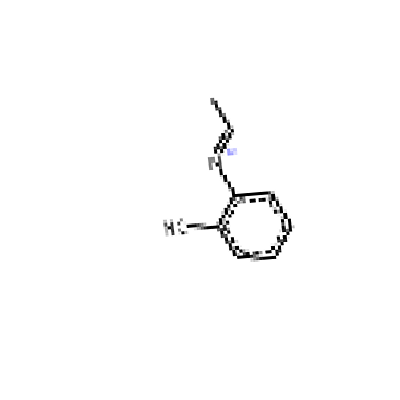 C/C=N/c1ccccc1C#N